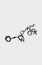 CCCN(CCOc1cncc(C#Cc2ccccc2)c1)C(=O)OC(C)(C)C